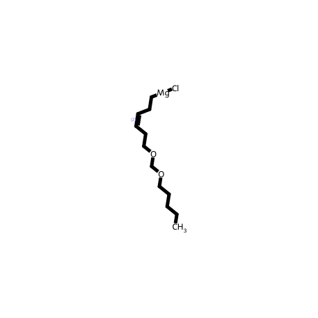 CCCCCOCOCC/C=C\C[CH2][Mg][Cl]